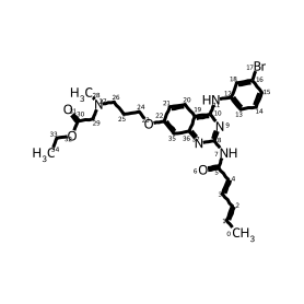 CC=CC=CC(=O)Nc1nc(Nc2cccc(Br)c2)c2ccc(OCCCN(C)CC(=O)OCC)cc2n1